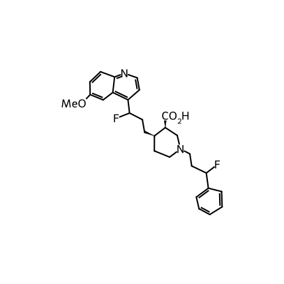 COc1ccc2nccc(C(F)CC[C@@H]3CCN(CCC(F)c4ccccc4)C[C@@H]3C(=O)O)c2c1